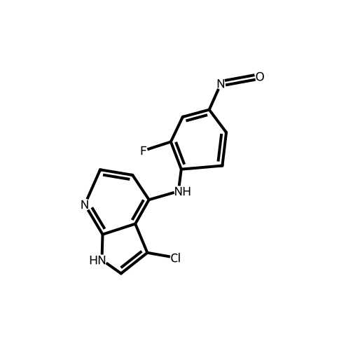 O=Nc1ccc(Nc2ccnc3[nH]cc(Cl)c23)c(F)c1